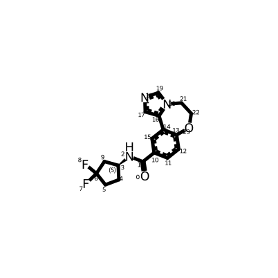 O=C(N[C@H]1CCC(F)(F)C1)c1ccc2c(c1)-c1cncn1CCO2